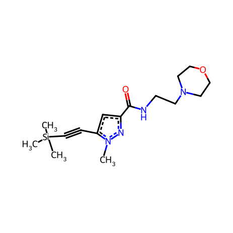 Cn1nc(C(=O)NCCN2CCOCC2)cc1C#C[Si](C)(C)C